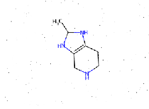 CC1NC2=C(CNCC2)N1